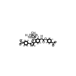 CC(C)(C)NS(=O)(=O)c1cc(NC(=O)Oc2ccc([N+](=O)[O-])cc2)ccc1-c1cnc(-c2ccc([N+](=O)[O-])cc2)s1